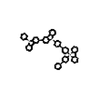 c1ccc(-c2ccc([Si]3(c4ccc(-c5ccc(-n6c7ccccc7c7cc(-c8ccc9c(c8)c8ccccc8n9-c8ccccc8)ccc76)cc5)cc4)c4ccccc4-c4ccccc43)cc2)cc1